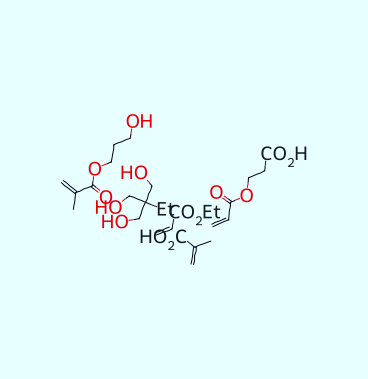 C=C(C)C(=O)O.C=C(C)C(=O)OCCCO.C=CC(=O)OCC.C=CC(=O)OCCC(=O)O.CCC(CO)(CO)CO